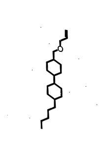 C=CCOCC1CCC(C2CCC(CCCCC)CC2)CC1